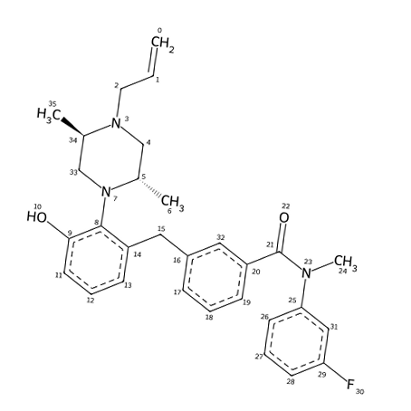 C=CCN1C[C@H](C)N(c2c(O)cccc2Cc2cccc(C(=O)N(C)c3cccc(F)c3)c2)C[C@H]1C